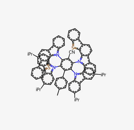 Cc1ccc(-c2c(-n3c4ccc(C(C)C)cc4c4cc(C(C)C)ccc43)c(-n3c4ccccc4c4ccc5c6ccccc6sc5c43)c(C#N)c(-n3c4ccccc4c4ccc5c6ccccc6sc5c43)c2-n2c3ccc(C(C)C)cc3c3cc(C(C)C)ccc32)cc1